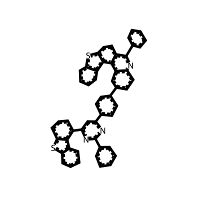 c1ccc(-c2nc(-c3ccc(-c4ccc5nc(-c6ccccc6)c6ccc7sc8ccccc8c7c6c5c4)cc3)cc(-c3cccc4sc5ccccc5c34)n2)cc1